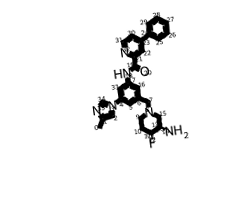 Cc1cn(-c2cc(CN3CC[C@@H](F)[C@H](N)C3)cc(NC(=O)c3cc(-c4ccccc4)ccn3)c2)cn1